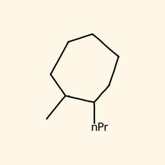 CCCC1CCCCC[C]1C